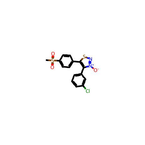 CS(=O)(=O)c1ccc(-c2sn[n+]([O-])c2-c2cccc(Cl)c2)cc1